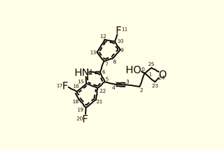 OC1(CC#Cc2c(-c3ccc(F)cc3)[nH]c3c(F)cc(F)cc23)COC1